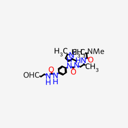 CNC(C)C(=O)NC(C)CN(CC1CCC(C)N1C)C(=O)Nc1ccc(NC(=O)NCCC=O)cc1